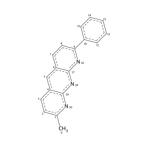 Cc1ccc2cc3ccc(-c4ccccc4)nc3nc2n1